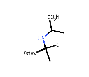 CCCCCCC(C)(CC)NC(C)C(=O)O